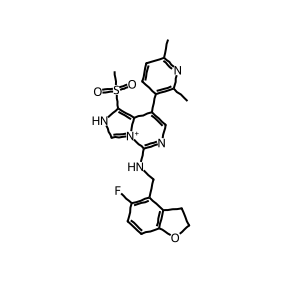 Cc1ccc(-c2cnc(NCc3c(F)ccc4c3CCO4)[n+]3c[nH]c(S(C)(=O)=O)c23)c(C)n1